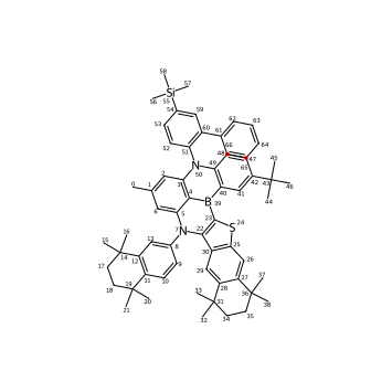 Cc1cc2c3c(c1)N(c1ccc4c(c1)C(C)(C)CCC4(C)C)c1c(sc4cc5c(cc14)C(C)(C)CCC5(C)C)B3c1cc(C(C)(C)C)ccc1N2c1ccc([Si](C)(C)C)cc1-c1ccccc1